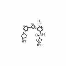 Cc1ncc(NC(=O)C2CC=C(C(C)(C)C)O2)cc1-n1cc(-c2cncc(N3CCN(C(C)C)CC3)c2)nn1